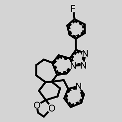 Fc1ccc(-c2nnn3cc4c(cc23)CCCC2CC3(CCC42Cc2ccccn2)OCCO3)cc1